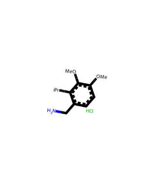 COc1ccc(CN)c(C(C)C)c1OC.Cl